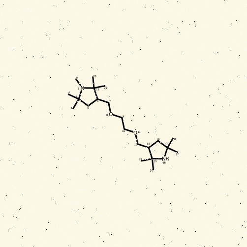 CN1C(C)(C)CC(COCCOCC2CC(C)(C)NC2(C)C)C1(C)C